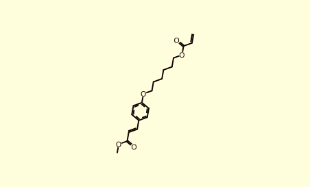 C=CC(=O)OCCCCCCOc1ccc(C=CC(=O)OC)cc1